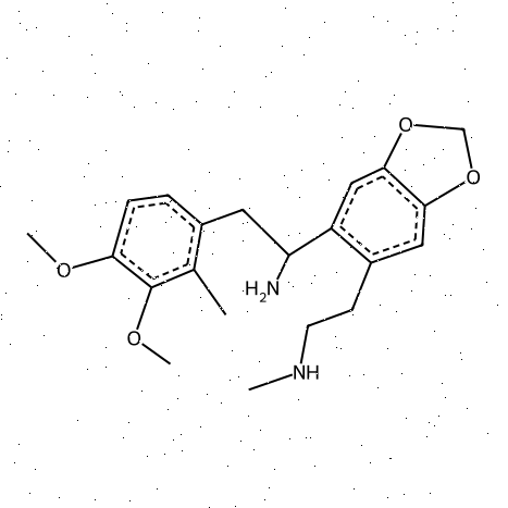 CNCCc1cc2c(cc1C(N)Cc1ccc(OC)c(OC)c1C)OCO2